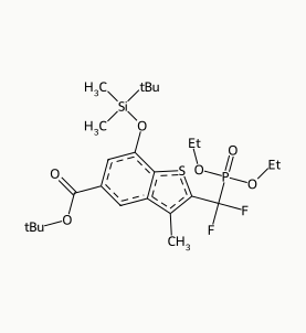 CCOP(=O)(OCC)C(F)(F)c1sc2c(O[Si](C)(C)C(C)(C)C)cc(C(=O)OC(C)(C)C)cc2c1C